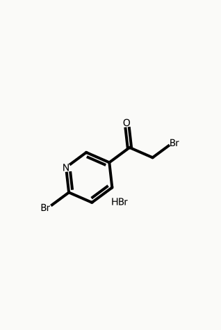 Br.O=C(CBr)c1ccc(Br)nc1